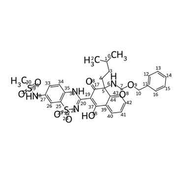 CC(C)CCC1(NC(=O)OCc2ccccc2)C(=O)C(C2=NS(=O)(=O)c3cc(NS(C)(=O)=O)ccc3N2)=C(O)c2ccccc21